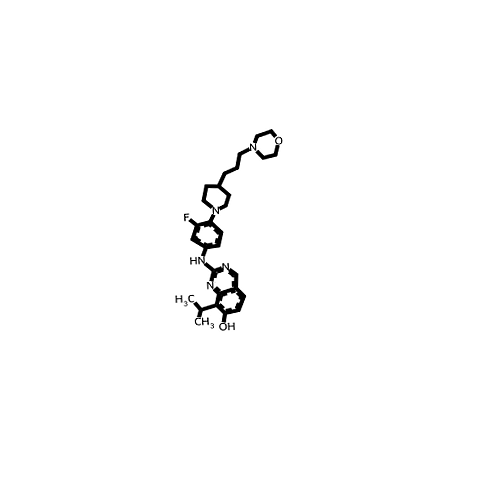 CC(C)c1c(O)ccc2cnc(Nc3ccc(N4CCC(CCCN5CCOCC5)CC4)c(F)c3)nc12